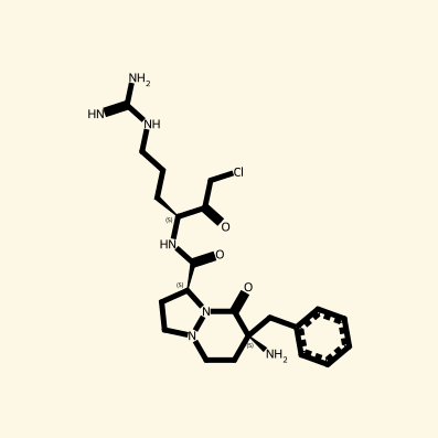 N=C(N)NCCC[C@H](NC(=O)[C@@H]1CCN2CC[C@@](N)(Cc3ccccc3)C(=O)N12)C(=O)CCl